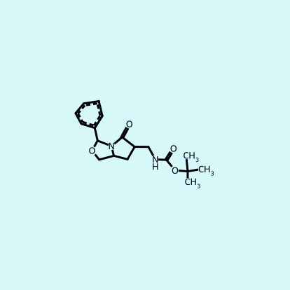 CC(C)(C)OC(=O)NCC1CC2COC(c3ccccc3)N2C1=O